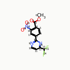 COC(=O)c1ccc(-c2nccc(C(F)F)n2)cc1[N+](=O)[O-]